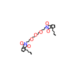 C=CCCC12C=CC(C1)C1C(=O)N(CCCOCCOCCOCCCN3C(=O)C4C5C=CC(CCC=C)(C5)C4C3=O)C(=O)C12